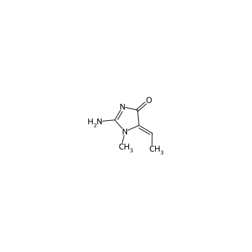 CC=C1C(=O)N=C(N)N1C